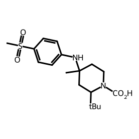 CC1(Nc2ccc(S(C)(=O)=O)cc2)CCN(C(=O)O)C(C(C)(C)C)C1